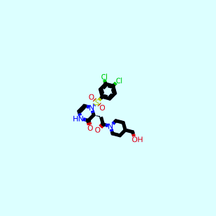 O=C1NC=CN(S(=O)(=O)c2ccc(Cl)c(Cl)c2)[C@@H]1CC(=O)N1CCC(CO)CC1